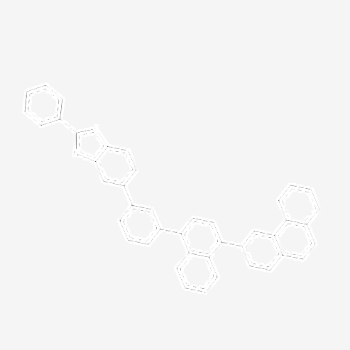 c1ccc(-c2nc3cc(-c4cccc(-c5ccc(-c6ccc7ccc8ccccc8c7c6)c6ccccc56)c4)ccc3s2)cc1